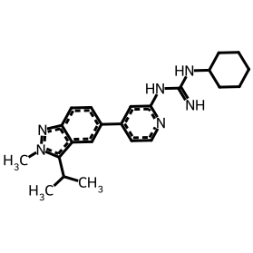 CC(C)c1c2cc(-c3ccnc(NC(=N)NC4CCCCC4)c3)ccc2nn1C